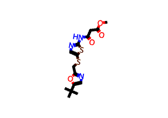 COC(=O)CC(=O)Nc1ncc(SCc2ncc(C(C)(C)C)o2)s1